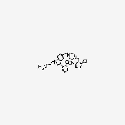 NCCCN1C=C(C2C=CC=CC2Cl)C2CC(CN3CCN(CC4C(Cl)=CC=CC4Cl)CC3)=CC=C21